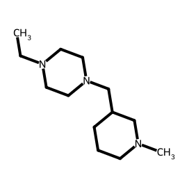 CCN1CCN(CC2CCCN(C)C2)CC1